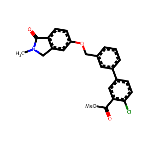 COC(=O)c1cc(-c2cccc(COc3ccc4c(c3)CN(C)C4=O)c2)ccc1Cl